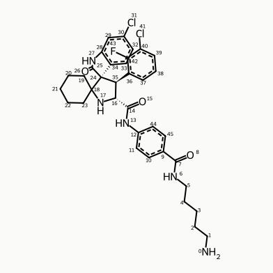 NCCCCCNC(=O)c1ccc(NC(=O)[C@@H]2NC3(CCCCC3)[C@@]3(C(=O)Nc4cc(Cl)ccc43)[C@H]2c2cccc(Cl)c2F)cc1